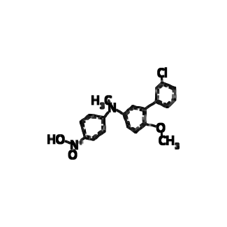 COc1ccc(N(C)c2ccc([N+](=O)O)cc2)cc1-c1cccc(Cl)c1